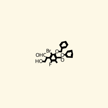 Cc1c(F)c(C(C=O)CO)c(Br)c(OCc2ccccc2)c1C(=O)Oc1ccccc1